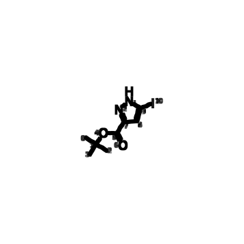 CC(C)(C)OC(=O)c1cc(I)[nH]n1